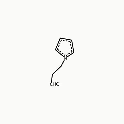 O=[C]CCn1cccc1